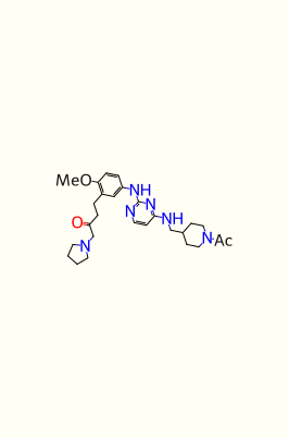 COc1ccc(Nc2nccc(NCC3CCN(C(C)=O)CC3)n2)cc1CCC(=O)CN1CCCC1